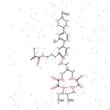 C=C(C)C(=O)OCCCc1cc(-c2ccc(C3CCC(CCCCCCC)CC3)cc2CC)ccc1OCC(COC(=O)C(=O)OCCOC)COC(=O)C(=O)OCCOC